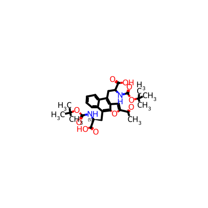 CC(=O)c1cc2c(CC(NC(=O)OC(C)(C)C)C(=O)O)c3ccccc3c(C[C@H](NC(=O)OC(C)(C)C)C(=O)O)c2o1